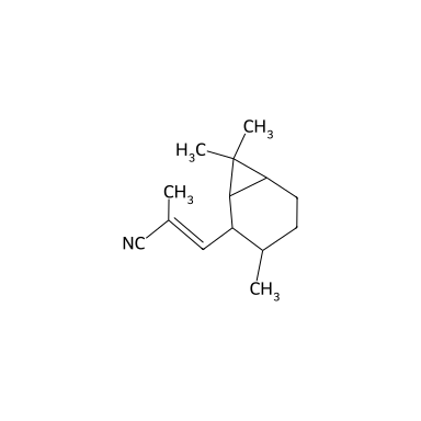 CC(C#N)=CC1C(C)CCC2C1C2(C)C